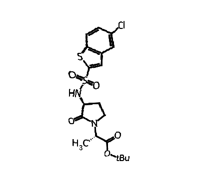 C[C@@H](C(=O)OC(C)(C)C)N1CC[C@H](NS(=O)(=O)c2cc3cc(Cl)ccc3s2)C1=O